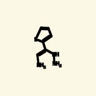 N/C=C(\NN)c1cccs1